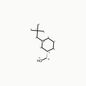 CC(C)(C)CN1CCC[C@H](CO)C1